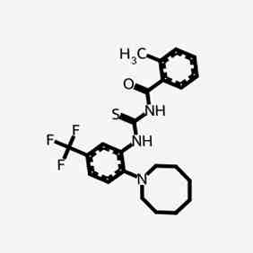 Cc1ccccc1C(=O)NC(=S)Nc1cc(C(F)(F)F)ccc1N1CCCCCCC1